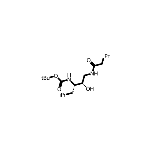 CC(C)CC(=O)NC[C@H](O)[C@H](CC(C)C)NC(=O)OC(C)(C)C